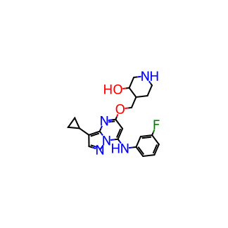 OC1CNCCC1COc1cc(Nc2cccc(F)c2)n2ncc(C3CC3)c2n1